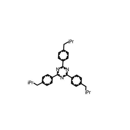 CC(C)Cc1ccc(-c2nc(-c3ccc(CC(C)C)cc3)nc(-c3ccc(CC(C)C)cc3)n2)cc1